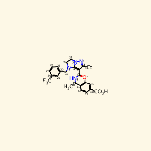 CCc1nn2c(c1C(=O)N[C@@H](C)c1ccc(C(=O)O)cc1)N(Cc1cccc(C(F)(F)F)c1)CC2